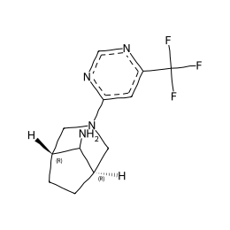 NC1[C@@H]2CC[C@@H]1CN(c1cc(C(F)(F)F)ncn1)C2